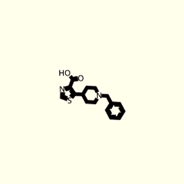 O=C(O)c1ncsc1C1CCN(Cc2ccccc2)CC1